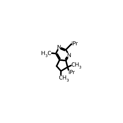 Cc1nc(C(C)C)nc2c1CC(C)C2(C)C(C)C